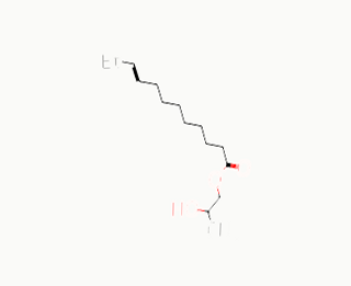 CCC=CCCCCCCCC(=O)OCC(C)O